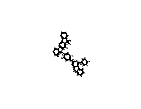 CC1(C)c2ccccc2-c2cc3c4ccccc4n(-c4ccc(-c5nc(-c6ccccc6)c6c(n5)sc5ccccc56)cc4)c3cc21